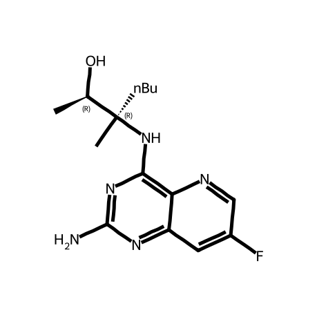 CCCC[C@@](C)(Nc1nc(N)nc2cc(F)cnc12)[C@@H](C)O